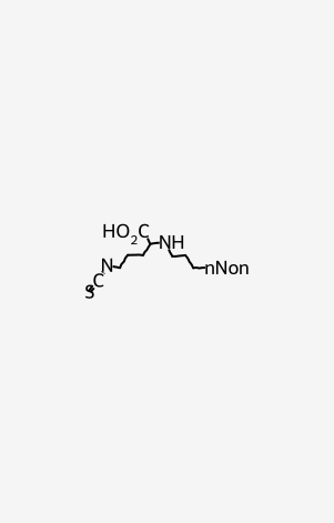 CCCCCCCCCCCCNC(CCCN=C=S)C(=O)O